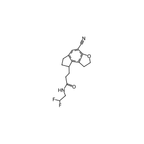 N#Cc1cc2c(c3c1OCC3)C(CCC(=O)NCC(F)F)CC2